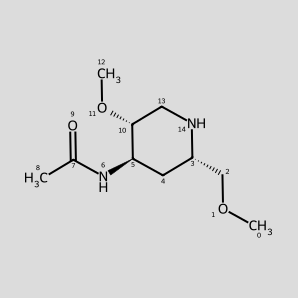 COC[C@@H]1C[C@@H](NC(C)=O)[C@H](OC)CN1